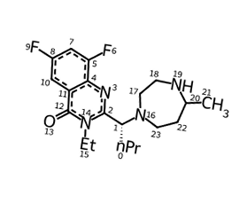 CCC[C@H](c1nc2c(F)cc(F)cc2c(=O)n1CC)N1CCNC(C)CC1